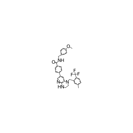 COc1ccc(CNC(=O)c2ccc(-c3cnc4c(c3)N(Cc3cc(C)ccc3C(F)(F)F)CCN4)cc2)cc1